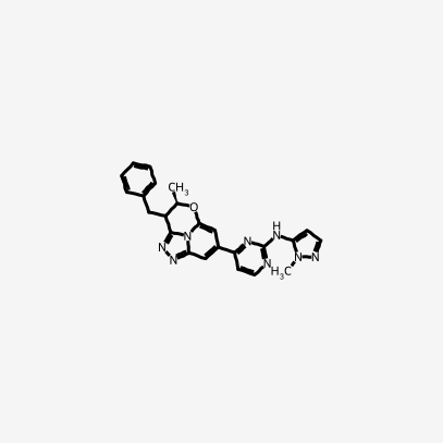 C[C@H]1Oc2cc(-c3ccnc(Nc4ccnn4C)n3)cc3nnc(n23)C1Cc1ccccc1